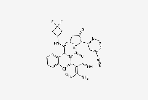 N#Cc1ccnc(N2C(=O)CC[C@H]2C(=O)N(c2cccc(N)c2C=N)C(C(=O)NC2CC(F)(F)C2)c2ccccc2Cl)c1